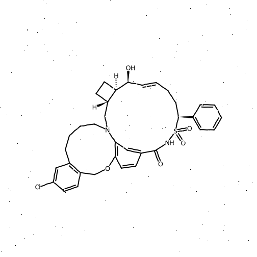 O=C1NS(=O)(=O)[C@H](c2ccccc2)CC/C=C/[C@H](O)[C@@H]2CC[C@H]2CN2CCCCc3cc(Cl)ccc3COc3ccc1cc32